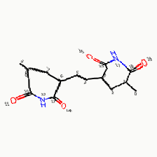 CC1CC(CCC2CC(C)C(=O)NC2=O)C(=O)NC1=O